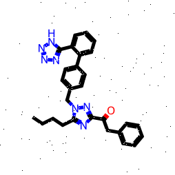 CCCCc1nc(C(=O)Cc2ccccc2)nn1Cc1ccc(-c2ccccc2-c2nnn[nH]2)cc1